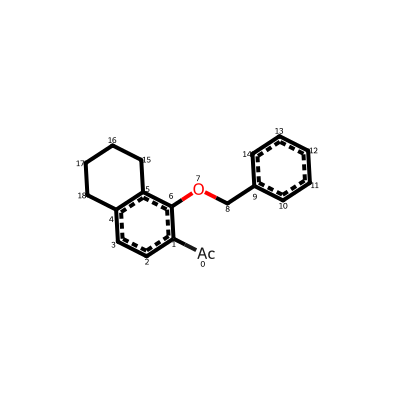 CC(=O)c1ccc2c(c1OCc1ccccc1)CCCC2